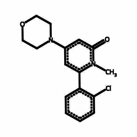 Cn1c(-c2ccccc2Cl)cc(N2CCOCC2)cc1=O